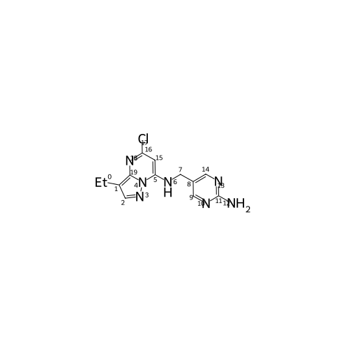 CCc1cnn2c(NCc3cnc(N)nc3)cc(Cl)nc12